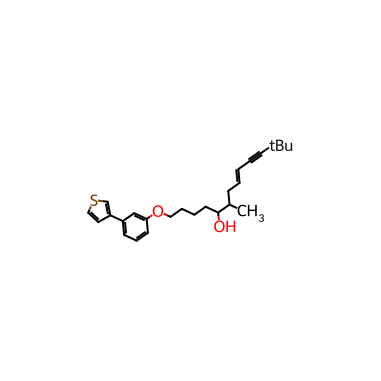 CC(C/C=C/C#CC(C)(C)C)C(O)CCCCOc1cccc(-c2ccsc2)c1